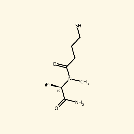 CC(C)[C@H](C(N)=O)N(C)C(=O)CCCS